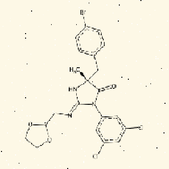 C[C@]1(Cc2ccc(Br)cc2)N/C(=N\CC2OCCO2)N(c2cc(Cl)cc(Cl)c2)C1=O